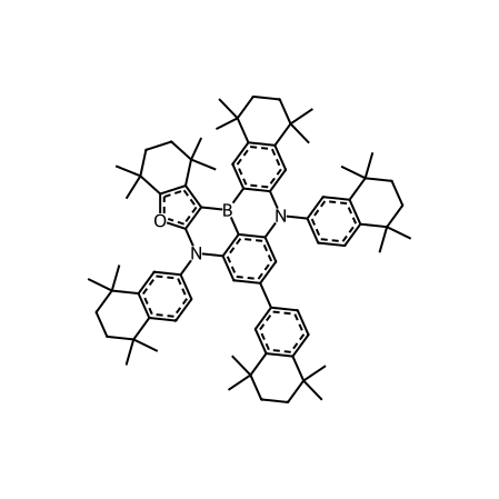 CC1(C)CCC(C)(C)c2cc(-c3cc4c5c(c3)N(c3ccc6c(c3)C(C)(C)CCC6(C)C)c3oc6c(c3B5c3cc5c(cc3N4c3ccc4c(c3)C(C)(C)CCC4(C)C)C(C)(C)CCC5(C)C)C(C)(C)CCC6(C)C)ccc21